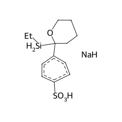 CC[SiH2]C1(c2ccc(S(=O)(=O)O)cc2)CCCCO1.[NaH]